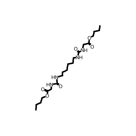 CCCCOC(=O)CNC(=O)NCCCCCCNC(=O)NCC(=O)OCCCC